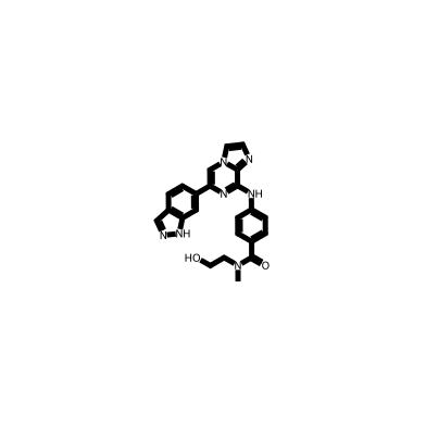 CN(CCO)C(=O)c1ccc(Nc2nc(-c3ccc4cn[nH]c4c3)cn3ccnc23)cc1